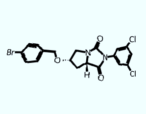 O=C1[C@@H]2C[C@H](OCc3ccc(Br)cc3)CN2C(=O)N1c1cc(Cl)cc(Cl)c1